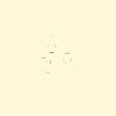 CC1CN=C(C2CC=C(c3cc(Oc4cnc(S(C)(=O)=O)cn4)cc(O[C@@H](C)CO)c3)N2)O1